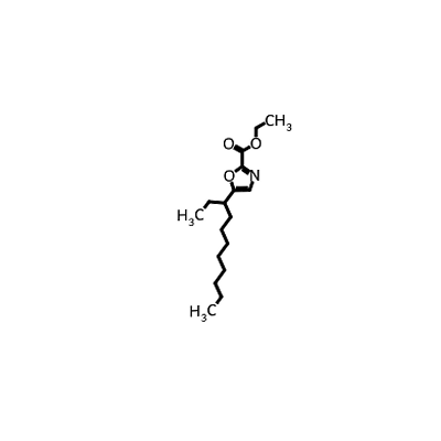 CCCCCCCCC(CC)c1cnc(C(=O)OCC)o1